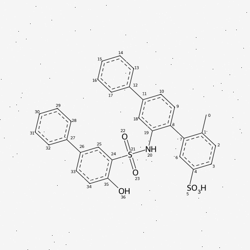 Cc1ccc(S(=O)(=O)O)cc1-c1ccc(-c2ccccc2)cc1NS(=O)(=O)c1cc(-c2ccccc2)ccc1O